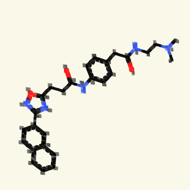 CN(C)CCNC(=O)Cc1ccc(NC(=O)CCc2nc(-c3ccc4ccccc4c3)no2)cc1